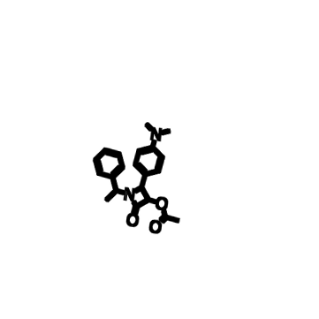 CC(=O)OC1C(=O)N(C(C)c2ccccc2)C1c1ccc(N(C)C)cc1